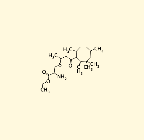 CCOC(=O)C(N)CSC(C)CC(=O)C1C(C)CCC(C)CC(C)(C)[C@H]1C